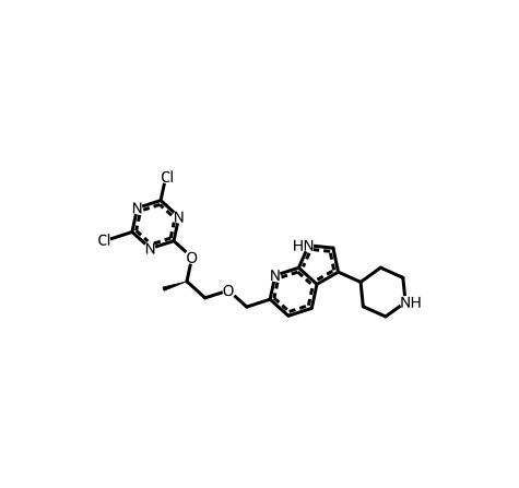 C[C@H](COCc1ccc2c(C3CCNCC3)c[nH]c2n1)Oc1nc(Cl)nc(Cl)n1